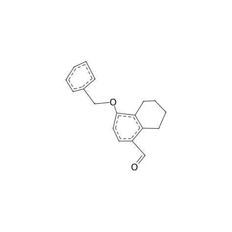 O=Cc1ccc(OCc2ccccc2)c2c1CCCC2